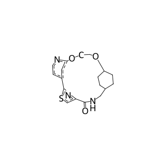 O=C1NCC2CCC(CC2)OCCOc2cc(ccn2)-c2nc1cs2